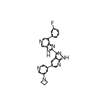 Fc1cccc(-c2cncc3[nH]c(-c4n[nH]c5ncc(-c6cncc(N7CCC7)c6)cc45)nc23)c1